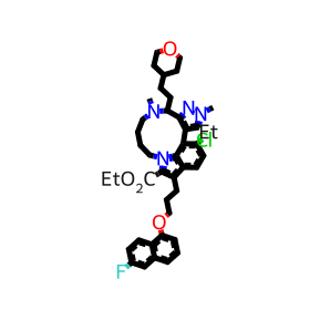 CCOC(=O)c1c(CCCOc2cccc3cc(F)ccc23)c2ccc(Cl)c3c2n1CCCCN(C)C(CCC1CCOCC1)c1nn(C)c(CC)c1-3